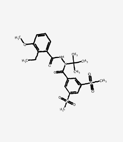 CCc1c(OC)cccc1C(=O)NN(C(=O)c1cc(S(C)(=O)=O)cc(S(C)(=O)=O)c1)C(C)(C)C